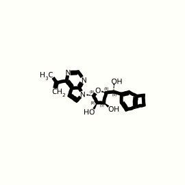 C=C(C)c1ncnc2c1ccn2[C@@H]1O[C@H]([C@H](O)c2ccc3c(c2)CC3)[C@@H](O)[C@H]1O